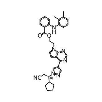 Cc1cccc(Nc2ccccc2C(=O)OCCn2ccc3c(-c4cnn([C@H](CC#N)C5CCCC5)c4)ncnc32)c1C